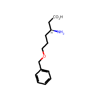 N[C@@H](CCCOCc1ccccc1)CC(=O)O